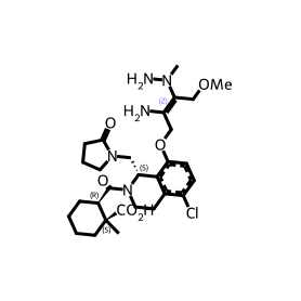 COC/C(=C(/N)COc1ccc(Cl)c2c1[C@@H](CN1CCCC1=O)N(C(=O)[C@@H]1CCCC[C@]1(C)C(=O)O)CC2)N(C)N